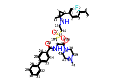 C=C(/C=C\C(F)=C/C)[C@@H]1CC1(C)NCCS(=O)(=O)C[C@@H](NC(=O)c1ccc(-c2ccccc2)cc1)C(=O)N1CCN(C)CC1